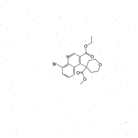 CCOC(=O)c1cnc2c(Br)cccc2c1C1(C(=O)OC)CCOCC1